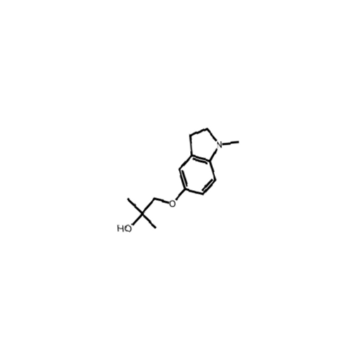 CN1CCc2cc(OCC(C)(C)O)ccc21